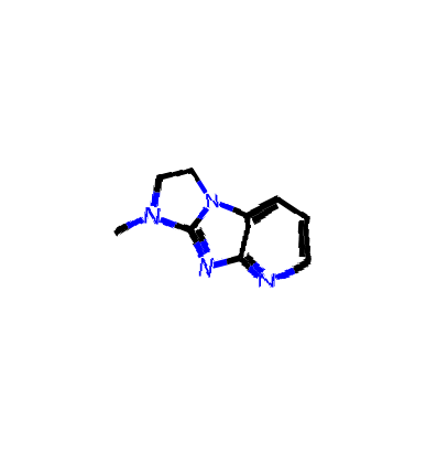 CN1CCn2c1nc1ncccc12